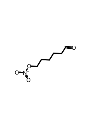 O=[C]CCCCCO[N+](=O)[O-]